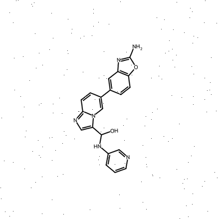 Nc1nc2cc(-c3ccc4ncc(C(O)Nc5cccnc5)n4c3)ccc2o1